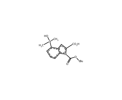 CC(C)(C)OC(=O)n1c(C(=O)O)cc2c([Si](C)(C)O)cccc21